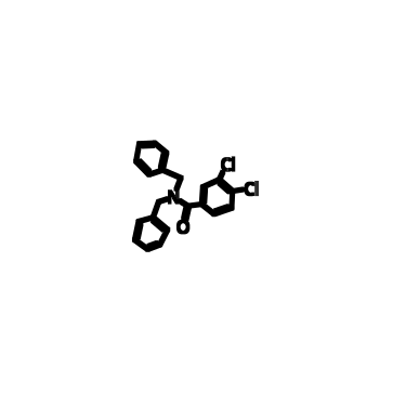 O=C(c1ccc(Cl)c(Cl)c1)N(Cc1ccccc1)Cc1ccccc1